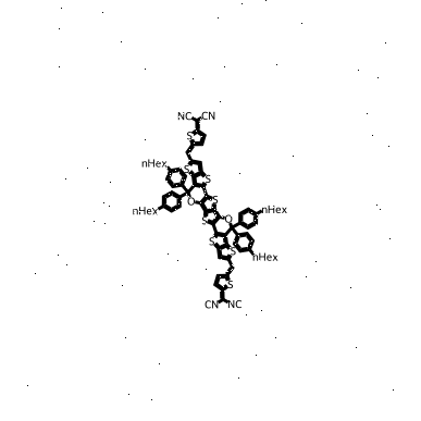 [C-]#[N+]C([N+]#[C-])=c1cc/c(=C\c2cc3sc4c(c3s2)C(c2ccc(CCCCCC)cc2)(c2ccc(CCCCCC)cc2)Oc2c-4sc3c4c(sc23)-c2sc3cc(/C=c5\ccc(=C(C#N)C#N)s5)sc3c2C(c2ccc(CCCCCC)cc2)(c2ccc(CCCCCC)cc2)O4)s1